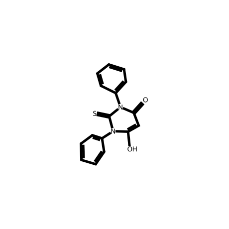 O=c1cc(O)n(-c2ccccc2)c(=S)n1-c1ccccc1